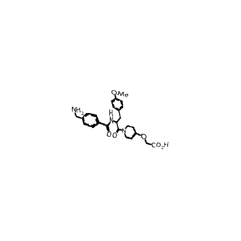 COc1ccc(CC(NC(=O)c2ccc(CN)cc2)C(=O)N2CCC(OCC(=O)O)CC2)cc1